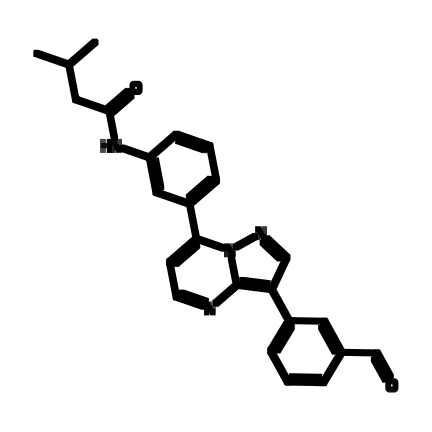 CC(C)CC(=O)Nc1cccc(-c2ccnc3c(-c4cccc(C=O)c4)cnn23)c1